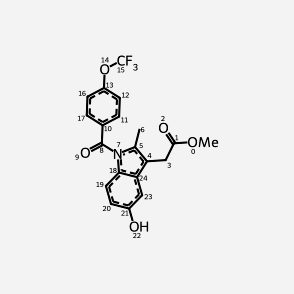 COC(=O)Cc1c(C)n(C(=O)c2ccc(OC(F)(F)F)cc2)c2ccc(O)cc12